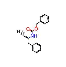 CC=C(Cc1ccccc1)NC(=O)OCc1ccccc1